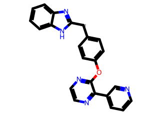 [C](c1ccc(Oc2nccnc2-c2cccnc2)cc1)c1nc2ccccc2[nH]1